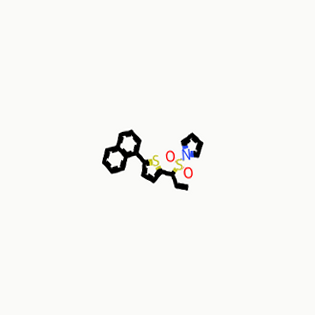 C=CC(c1ccc(-c2cccc3ccccc23)s1)S(=O)(=O)n1cccc1